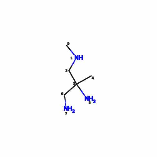 CNCC(C)(N)CN